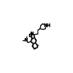 CN(C)Cc1c2ccccc2cc2c(CCC3CCNCC3)noc12